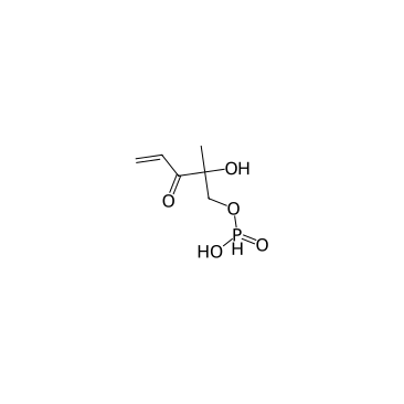 C=CC(=O)C(C)(O)CO[PH](=O)O